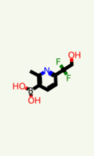 Cc1nc(C(F)(F)CO)ccc1B(O)O